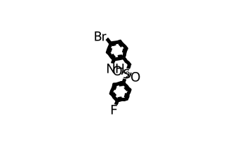 Nc1cc(Br)ccc1CS(=O)(=O)c1ccc(F)cc1